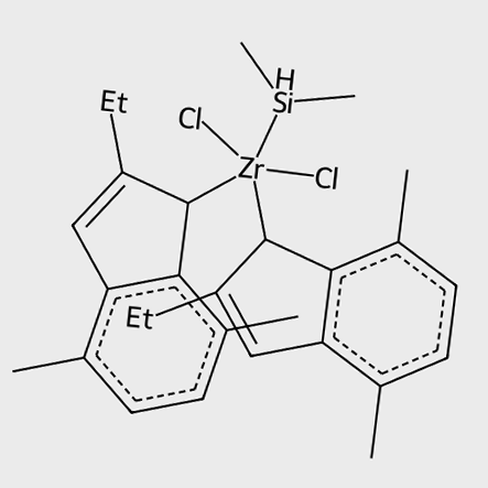 CCC1=Cc2c(C)ccc(C)c2[CH]1[Zr]([Cl])([Cl])([CH]1C(CC)=Cc2c(C)ccc(C)c21)[SiH](C)C